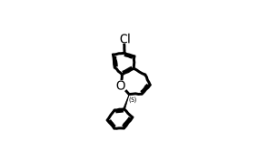 Clc1ccc2c(c1)CC=C[C@@H](c1ccccc1)O2